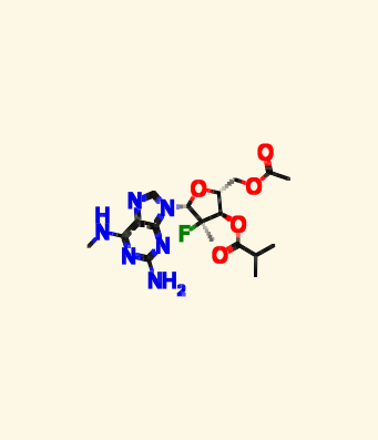 CNc1nc(N)nc2c1ncn2[C@@H]1O[C@H](COC(C)=O)[C@@H](OC(=O)C(C)C)[C@@]1(C)F